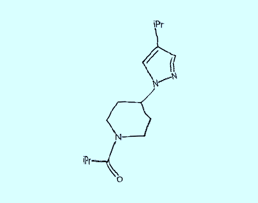 CC(C)C(=O)N1CCC(n2cc(C(C)C)cn2)CC1